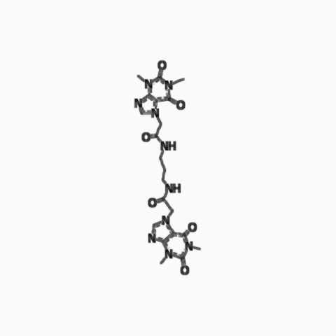 Cn1c(=O)c2c(ncn2CC(=O)NCCCNC(=O)Cn2cnc3c2c(=O)n(C)c(=O)n3C)n(C)c1=O